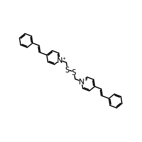 C(=C\c1cc[n+](CSSC[n+]2ccc(/C=C/c3ccccc3)cc2)cc1)/c1ccccc1